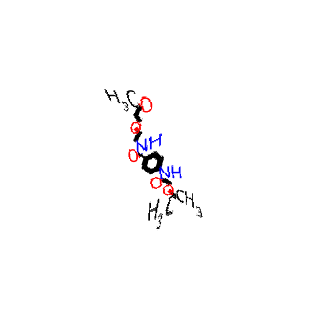 CC(=O)CCOCCNC(=O)[C@H]1CC[C@@H](NC(=O)COC(C)C)CC1